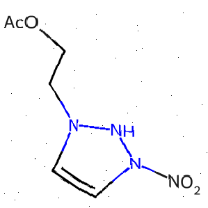 CC(=O)OCCN1C=CN([N+](=O)[O-])N1